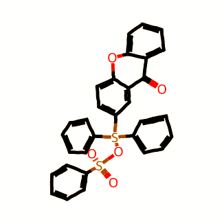 O=c1c2ccccc2oc2ccc(S(OS(=O)(=O)c3ccccc3)(c3ccccc3)c3ccccc3)cc12